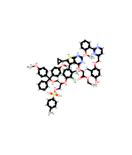 CCOC(=O)[C@@H](Cc1cc(O)ccc1OCc1ccnc(-c2ccccc2OC)n1)Oc1ncnc2sc(C3CC3)c(-c3ccc(O[C@H](COC(c4ccccc4)(c4ccc(OC)cc4)c4ccc(OC)cc4)COS(=O)(=O)c4ccc(C)cc4)c(Cl)c3C)c12